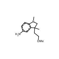 COCCC1(C)CN(C)c2ccc(N)cc21